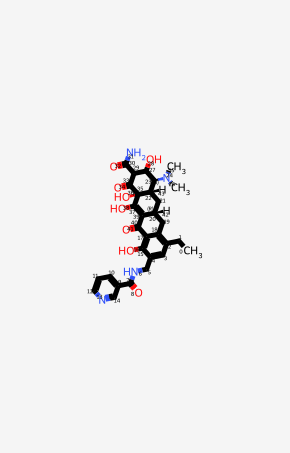 CCc1cc(CNC(=O)c2cccnc2)c(O)c2c1C[C@H]1C[C@H]3[C@H](N(C)C)C(O)C(C(N)=O)C(=O)[C@@]3(O)C(O)=C1C2=O